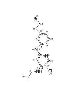 CCCNc1nc(Nc2cccc(CCBr)c2)ncc1Cl